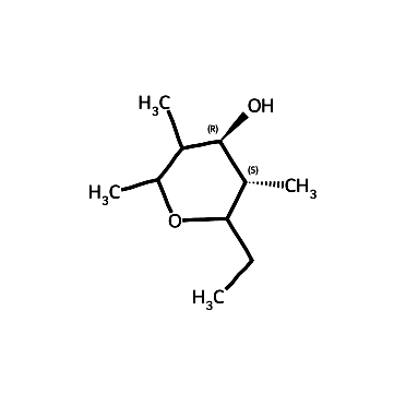 CCC1OC(C)C(C)[C@@H](O)[C@@H]1C